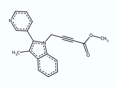 COC(=O)C#CCn1c(-c2cccnc2)c(C)c2ccccc21